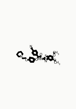 COc1cc2nc(NC(=O)C(Oc3ccc(OCCN4CCCCC4)cc3)c3ccc(C#N)cc3)sc2cc1OC